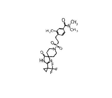 Cc1cc(C(=O)N(C)C)ccc1CCS(=O)(=O)N1CCC2(CC1)N=C(C1(C(F)(F)F)CC1)NC2=O